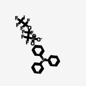 O=S(=O)([O-])C(F)(F)C(F)(F)OC(F)(F)C(F)(F)I.c1ccc([S+](c2ccccc2)c2ccccc2)cc1